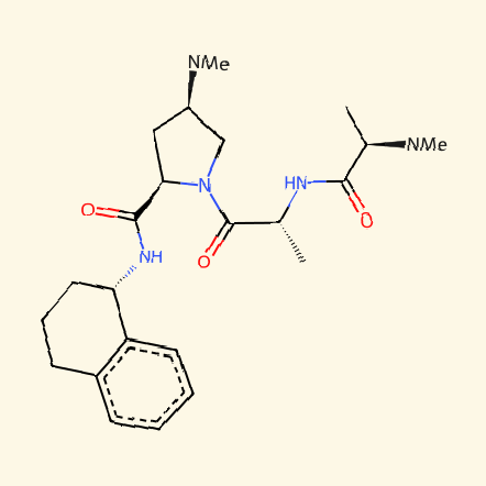 CN[C@@H]1C[C@H](C(=O)N[C@H]2CCCc3ccccc32)N(C(=O)[C@@H](C)NC(=O)[C@@H](C)NC)C1